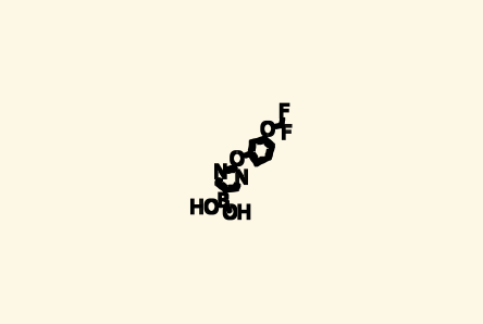 OB(O)c1cnc(Oc2cccc(OC(F)F)c2)nc1